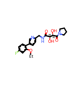 CCOc1cc(F)ccc1-c1ccc(CNC(=O)[C@H](O)[C@@H](O)C(=O)N2CCCC2)nc1